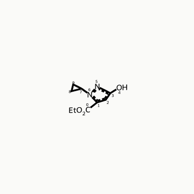 CCOC(=O)c1cc(O)nn1C1CC1